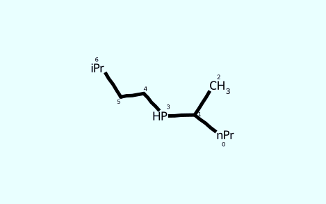 CCCC(C)PCCC(C)C